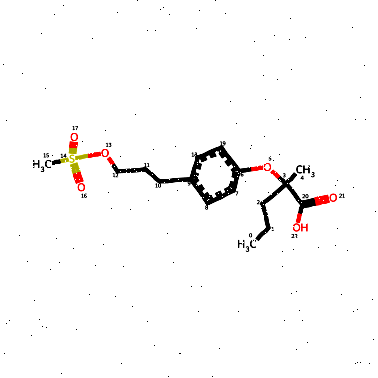 CCCC(C)(Oc1ccc(CCCOS(C)(=O)=O)cc1)C(=O)O